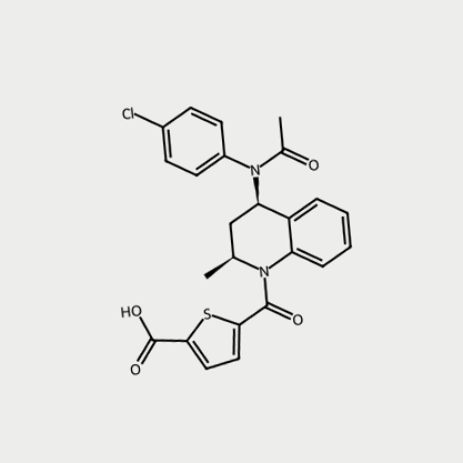 CC(=O)N(c1ccc(Cl)cc1)[C@@H]1C[C@H](C)N(C(=O)c2ccc(C(=O)O)s2)c2ccccc21